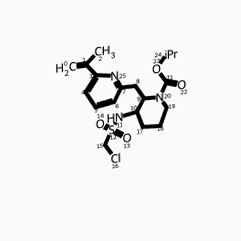 C=C(C)c1cccc(CC2C(NS(=O)(=O)CCl)CCCN2C(=O)OC(C)C)n1